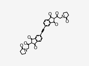 O=C(CN1CCCC1=O)C1C(=O)c2ccc(C#Cc3ccc4c(c3)C(=O)C(C(=O)CN3CCCC3=O)C4=O)cc2C1=O